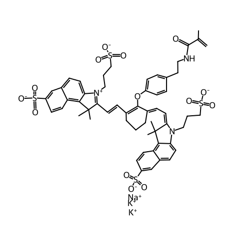 C=C(C)C(=O)NCCc1ccc(OC2=C(/C=C/C3=[N+](CCCS(=O)(=O)[O-])c4ccc5cc(S(=O)(=O)[O-])ccc5c4C3(C)C)CCC/C2=C\C=C2\N(CCCS(=O)(=O)[O-])c3ccc4cc(S(=O)(=O)[O-])ccc4c3C2(C)C)cc1.[K+].[K+].[Na+]